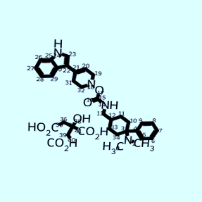 CN(C)C1(c2ccccc2)CCC(CNC(=O)ON2CC=C(c3c[nH]c4ccccc34)CC2)CC1.O=C(O)CC(O)(CC(=O)O)C(=O)O